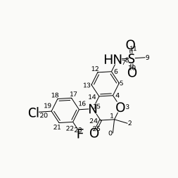 CC1(C)Oc2cc(NS(C)(=O)=O)ccc2N(c2ccc(Cl)cc2F)C1=O